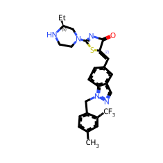 CC[C@H]1CN(C2=NC(=O)/C(=C/c3ccc4c(cnn4Cc4ccc(C)cc4C(F)(F)F)c3)S2)CCN1